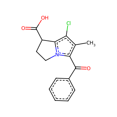 Cc1c(Cl)c2n(c1C(=O)c1ccccc1)CCC2C(=O)O